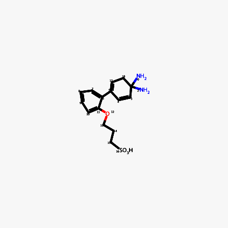 NC1(N)C=CC(c2ccccc2OCCCS(=O)(=O)O)=CC1